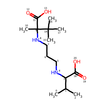 CC(C)C(NCCCNC(C)(C(=O)O)C(C)(C)C)C(=O)O